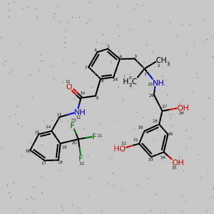 CC(C)(Cc1cccc(CC(=O)NCc2ccccc2C(F)(F)F)c1)NCC(O)c1cc(O)cc(O)c1